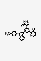 C=C(C(N)=O)c1cc(-c2ncccc2Cl)cc(-n2nc(-c3ccc(C(F)(F)F)cc3)c3ccccc32)c1